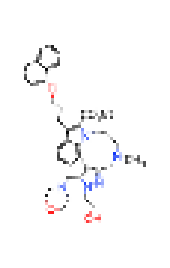 CCOC(=O)c1c(CCCOc2cccc3ccccc23)c2cccc3c2n1CCCN(C)Cc1nn(CCO)c(CN2CCOCC2)c1-3